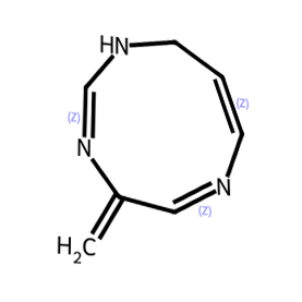 C=C1/C=N\C=C/CN/C=N\1